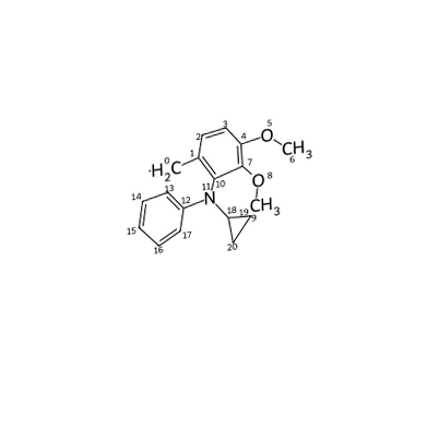 [CH2]c1ccc(OC)c(OC)c1N(c1ccccc1)C1CC1